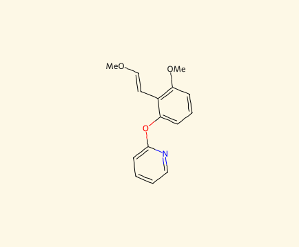 COC=Cc1c(OC)cccc1Oc1ccccn1